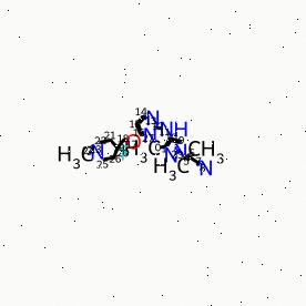 Cc1nn(C(C)(C)C#N)cc1Nc1nccc(OCC2(F)CCN(C)CC2)n1